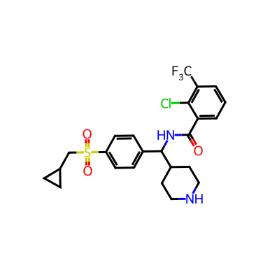 O=C(NC(c1ccc(S(=O)(=O)CC2CC2)cc1)C1CCNCC1)c1cccc(C(F)(F)F)c1Cl